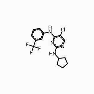 FC(F)(F)c1cccc(Nc2nc(NC3CCCC3)ncc2Cl)c1